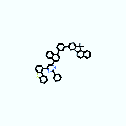 CC1(C)c2ccc(-c3cccc(-c4ccc(-c5cc(-c6cccc7sc8ccccc8c67)nc(-c6ccccc6)n5)c5ccccc45)c3)cc2-c2ccc3ccccc3c21